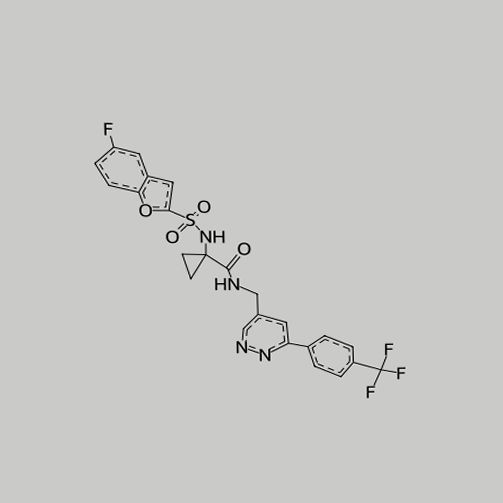 O=C(NCc1cnnc(-c2ccc(C(F)(F)F)cc2)c1)C1(NS(=O)(=O)c2cc3cc(F)ccc3o2)CC1